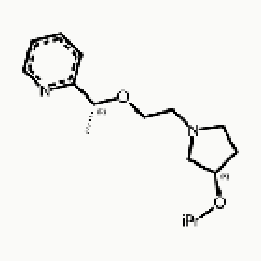 CC(C)O[C@@H]1CCN(CCO[C@H](C)c2ccccn2)C1